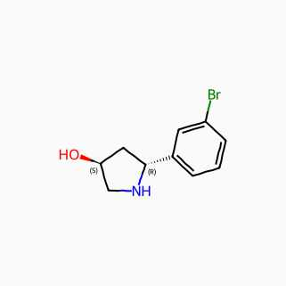 O[C@@H]1CN[C@@H](c2cccc(Br)c2)C1